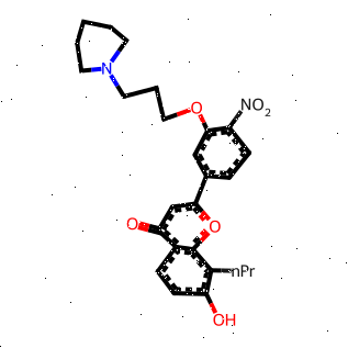 CCCc1c(O)ccc2c(=O)cc(-c3ccc([N+](=O)[O-])c(OCCCN4CCCCC4)c3)oc12